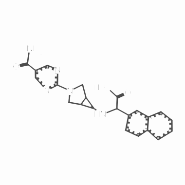 CC(=O)C(NC1C2CN(c3ncc(C(N)=O)cn3)CC21)c1ccc2ccccc2c1